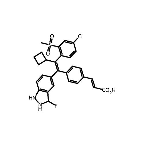 CS(=O)(=O)c1cc(Cl)ccc1/C(=C(\c1ccc(/C=C/C(=O)O)cc1)c1ccc2c(c1)C(F)NN2)C1CCC1